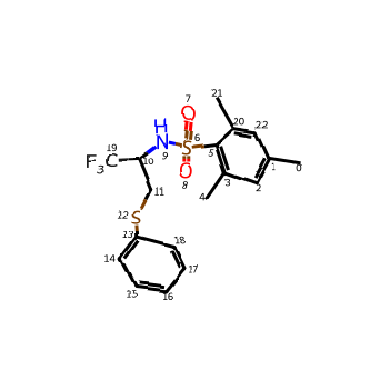 Cc1cc(C)c(S(=O)(=O)NC(CSc2ccccc2)C(F)(F)F)c(C)c1